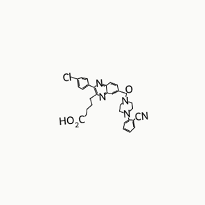 N#Cc1ccccc1N1CCN(C(=O)c2ccc3nc(-c4ccc(Cl)cc4)c(CCCCC(=O)O)nc3c2)CC1